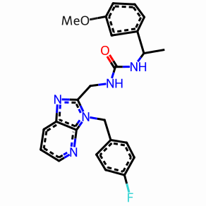 COc1cccc(C(C)NC(=O)NCc2nc3cccnc3n2Cc2ccc(F)cc2)c1